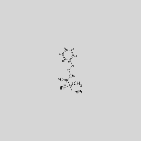 CC(C)CC(C)(C(=O)OCCc1ccccc1)C(C)C